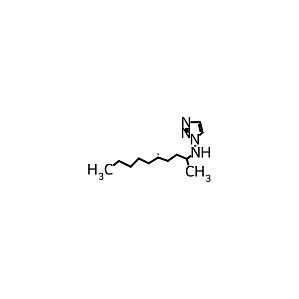 CCCCC[CH]CCC(C)Nn1ccnn1